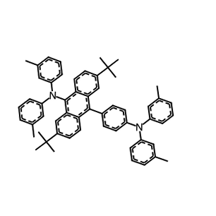 Cc1cccc(N(c2ccc(-c3c4cc(C(C)(C)C)ccc4c(N(c4cccc(C)c4)c4cccc(C)c4)c4cc(C(C)(C)C)ccc34)cc2)c2cccc(C)c2)c1